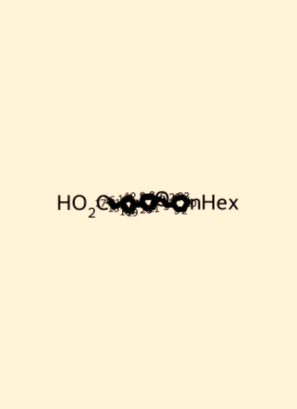 CCCCCCC1CCC(COc2ccc(-c3ccc(/C=C/C(=O)O)cc3)cc2)CC1